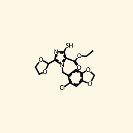 CCOC(=O)c1c(S)nc(C2OCCO2)n1Cc1cc2c(cc1Cl)OCO2